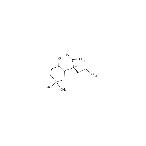 CC(S)[C@@H](CCC(=O)O)C1=CC(C)(O)CCC1=O